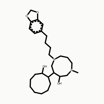 CN1CCCN(CCCCc2ccc3c(c2)OCO3)CC(C2CCCCCCCC2O)C(O)C1